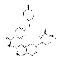 C=C(N)S/C(=C\C)c1ccc2cnc(NC(=C)c3ccc(CC4CCNCC4)cc3)cc2c1